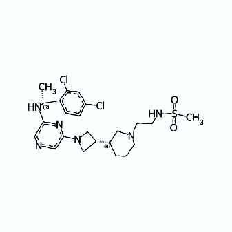 C[C@@H](Nc1cncc(N2CC([C@H]3CCCN(CCNS(C)(=O)=O)C3)C2)n1)c1ccc(Cl)cc1Cl